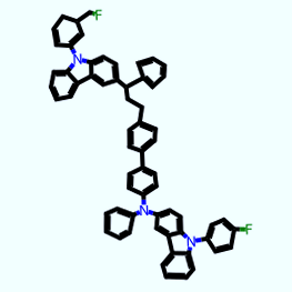 FCC1C=C(n2c3ccccc3c3cc(C(CCc4ccc(-c5ccc(N(c6ccccc6)c6ccc7c(c6)c6ccccc6n7-c6ccc(F)cc6)cc5)cc4)c4ccccc4)ccc32)C=CC1